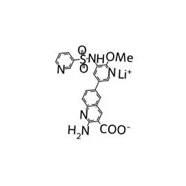 COc1ncc(-c2ccc3nc(N)c(C(=O)[O-])cc3c2)cc1NS(=O)(=O)c1cccnc1.[Li+]